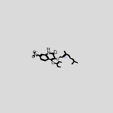 CC=C(CC)Oc1c(OC/C=C(\C)CCC=C(C)C)c(=O)[nH]c2cc([N+](=O)[O-])ccc12